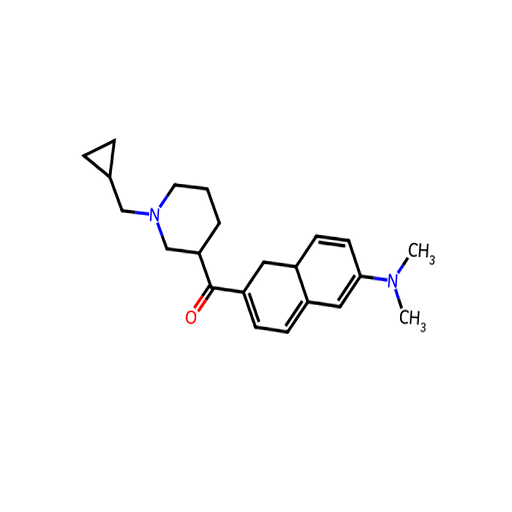 CN(C)C1=CC2=CC=C(C(=O)C3CCCN(CC4CC4)C3)CC2C=C1